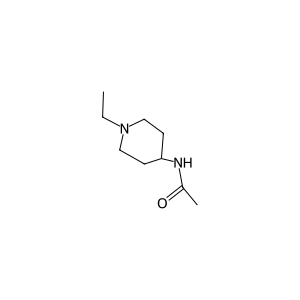 CCN1CCC(NC(C)=O)CC1